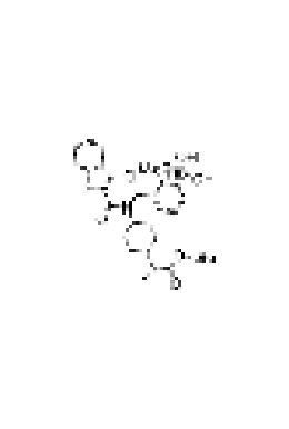 COc1ccccc1CN(C(=O)c1sc2ccccc2c1Cl)C1CCC(N(C)C(=O)OC(C)(C)C)CC1.OBO